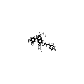 CN1CCC(CCCOc2cc3nc(N)nc(-c4ccc(F)c(Cl)c4)c3cc2N)CC1